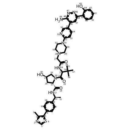 Cc1ncsc1-c1ccc([C@H](C)NC(=O)[C@@H]2C[C@@H](O)CN2C(=O)C(NC(=O)CN2CCN(c3ccc(-c4cc(-c5ccccc5O)nnc4N)cn3)CC2)C(C)(C)C)cc1